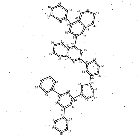 c1ccc(-c2cc(-c3ccccc3)cc(-c3cccc(-c4cccc(-c5cc6ccccc6c(-c6cc(-c7ccccc7)c7ccccc7c6)n5)c4)c3)c2)cc1